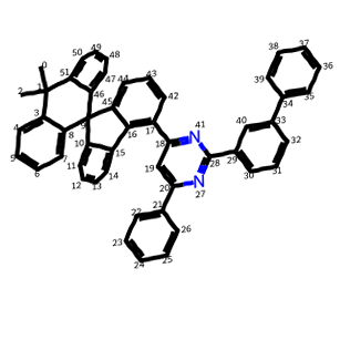 CC1(C)c2ccccc2C2(c3ccccc3-c3c(-c4cc(-c5ccccc5)nc(-c5cccc(-c6ccccc6)c5)n4)cccc32)c2ccccc21